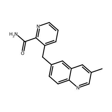 Cc1cnc2ccc(Cc3cccnc3C(N)=O)cc2c1